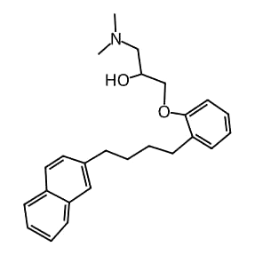 CN(C)CC(O)COc1ccccc1CCCCc1ccc2ccccc2c1